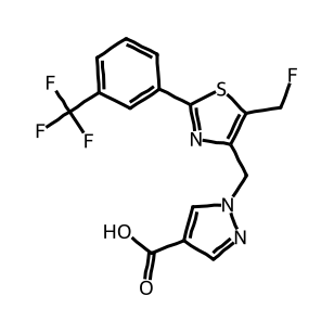 O=C(O)c1cnn(Cc2nc(-c3cccc(C(F)(F)F)c3)sc2CF)c1